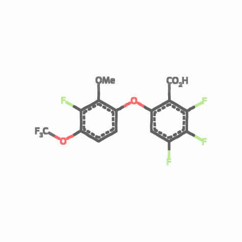 COc1c(Oc2cc(F)c(F)c(F)c2C(=O)O)ccc(OC(F)(F)F)c1F